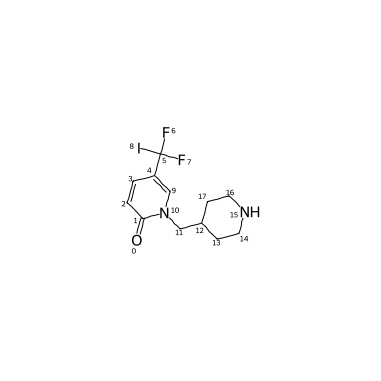 O=c1ccc(C(F)(F)I)cn1CC1CCNCC1